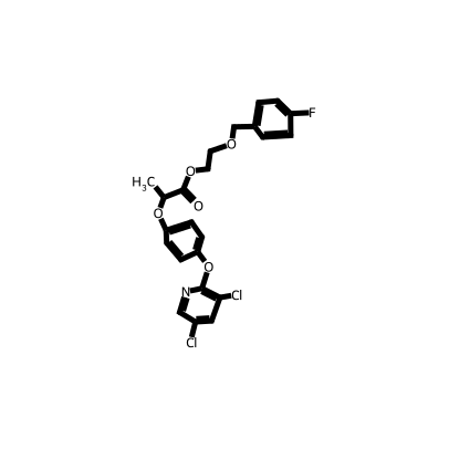 CC(Oc1ccc(Oc2ncc(Cl)cc2Cl)cc1)C(=O)OCCOCc1ccc(F)cc1